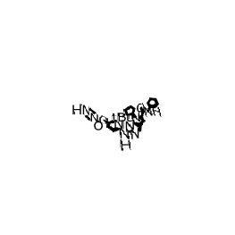 CC(C)(C)c1nc(Nc2ncc3cc(C(=O)Nc4ccccc4)n(C4CCCC4)c3n2)ccc1OC(=O)N1CCNCC1